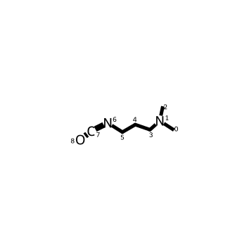 CN(C)CCCN=C=O